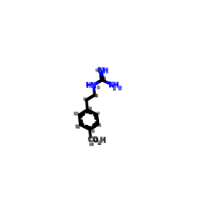 N=C(N)NCCc1ccc(C(=O)O)cc1